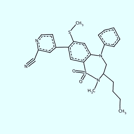 CCCCC1CN(c2ccccc2)c2cc(SC)c(-c3ccnc(C#N)c3)cc2S(=O)(=O)N1C